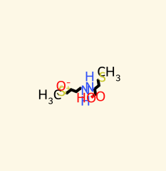 CSCCC(NNCCCC[S+](C)[O-])C(=O)O